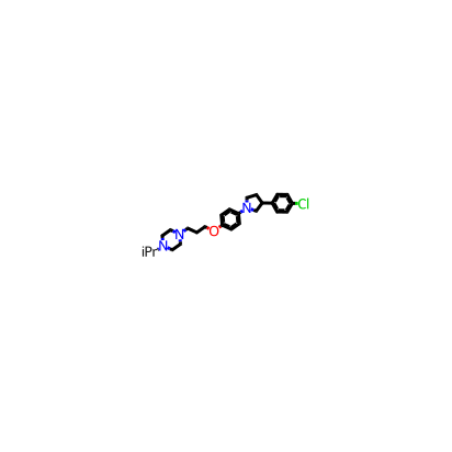 CC(C)N1CCN(CCCOc2ccc(N3CCC(c4ccc(Cl)cc4)C3)cc2)CC1